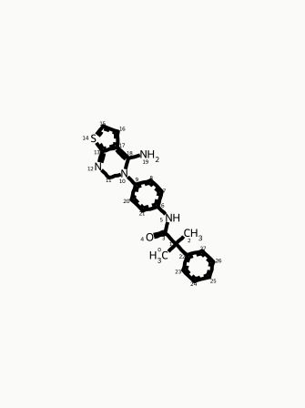 CC(C)(C(=O)Nc1ccc(N2CN=c3sccc3=C2N)cc1)c1ccccc1